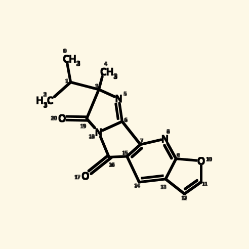 CC(C)C1(C)N=C2c3nc4occc4cc3C(=O)N2C1=O